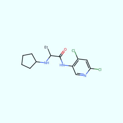 CCC(NC1CCCC1)C(=O)Nc1cnc(Cl)cc1Cl